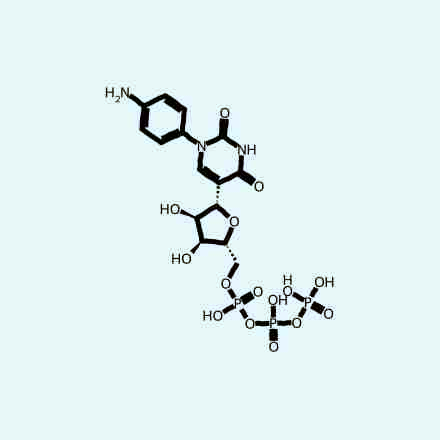 Nc1ccc(-n2cc([C@@H]3O[C@H](COP(=O)(O)OP(=O)(O)OP(=O)(O)O)[C@@H](O)[C@H]3O)c(=O)[nH]c2=O)cc1